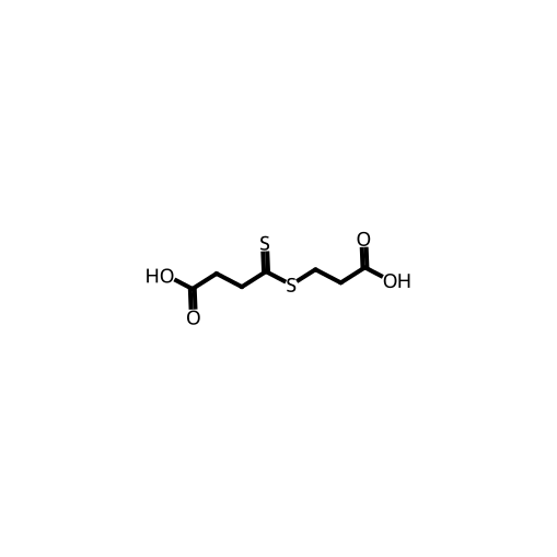 O=C(O)CCSC(=S)CCC(=O)O